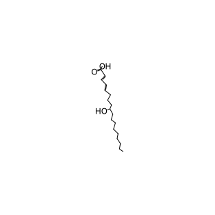 CCCCCCCCCC(O)CCCC=CC=CC(=O)O